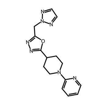 c1ccc(N2CCC(c3nnc(Cn4nccn4)o3)CC2)nc1